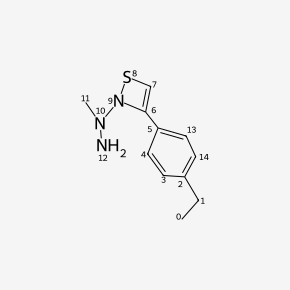 CCc1ccc(-c2csn2N(C)N)cc1